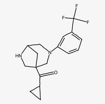 O=C(C1CC1)C12CNC(CN(c3cccc(C(F)(F)F)c3)C1)C2